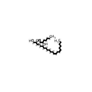 CCCCC/C=C\C/C=C\CCCCCCCCN(CC(O)CO)C(=O)C(O)CCCCC